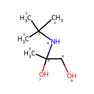 CC(C)(C)NC(C)(O)CO